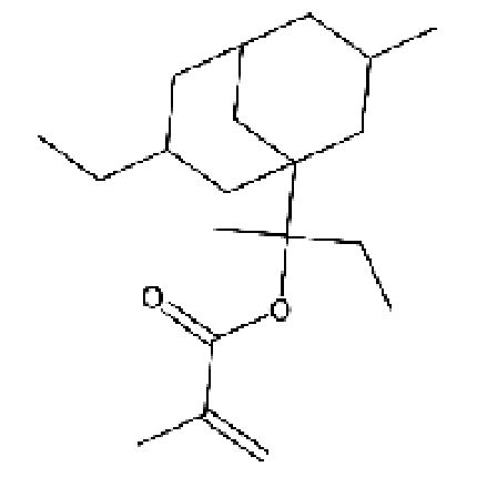 C=C(C)C(=O)OC(C)(CC)C12CC(C)CC(CC(CC)C1)C2